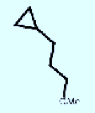 COCCCC1CC1